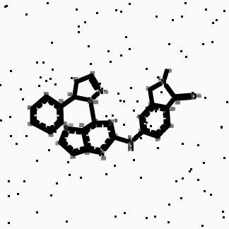 CN1Cc2cc(Nc3nc(N4N=CCC4c4ccccc4)c4sccc4n3)ccc2C1=O